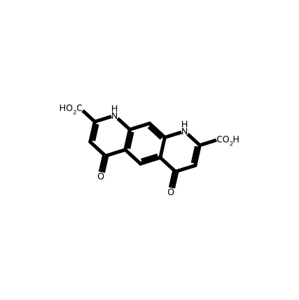 O=C(O)c1cc(=O)c2cc3c(=O)cc(C(=O)O)[nH]c3cc2[nH]1